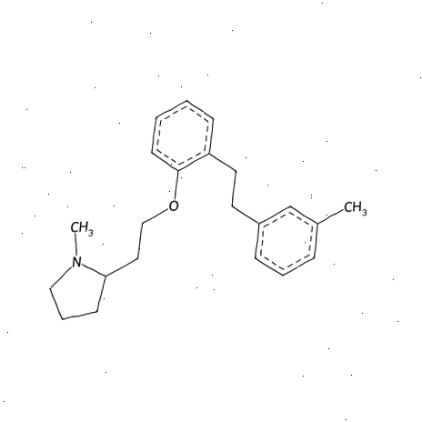 Cc1cccc(CCc2ccccc2OCCC2CCCN2C)c1